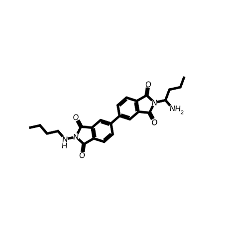 CCCCNN1C(=O)c2ccc(-c3ccc4c(c3)C(=O)N(C(N)CCC)C4=O)cc2C1=O